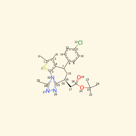 Cc1sc2c(c1C)C(c1ccc(Cl)cc1)C[C@@H](CC(=O)OC(C)(C)C)c1nnc(C)n1-2